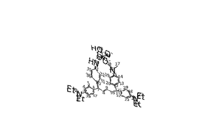 CCN(CC)c1ccc(C(/C=C/C=C(\c2ccc(N(C)C)cc2)c2ccc(N(CC)CC)cc2)=C2C=CC(=N)C=C2)cc1.[O-][Cl+3]([O-])([O-])O